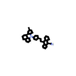 Cc1ccc(N(c2ccc(C=Cc3c4ccccc4c(C#N)c4ccccc34)cc2)c2cccc3ccccc23)cc1